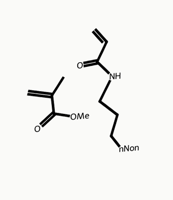 C=C(C)C(=O)OC.C=CC(=O)NCCCCCCCCCCCC